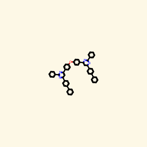 c1ccc(-c2ccc(-c3cc(-c4ccc(Oc5ccc(-c6cc(-c7ccc(-c8ccccc8)cc7)nc(-c7ccccc7)n6)cc5)cc4)nc(-c4ccccc4)n3)cc2)cc1